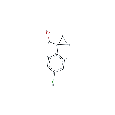 Clc1ccc(C2(CBr)CC2)cc1